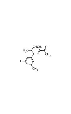 C=C(C)C(/C=C(\C)C(C)=O)c1cc(C)cc(F)c1